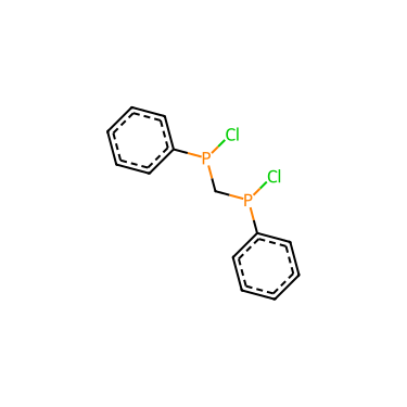 ClP(CP(Cl)c1ccccc1)c1ccccc1